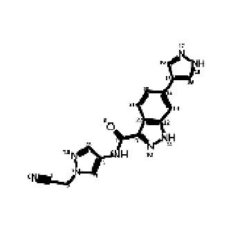 N#CCn1cc(NC(=O)c2n[nH]c3cc(-c4cn[nH]c4)ccc23)cn1